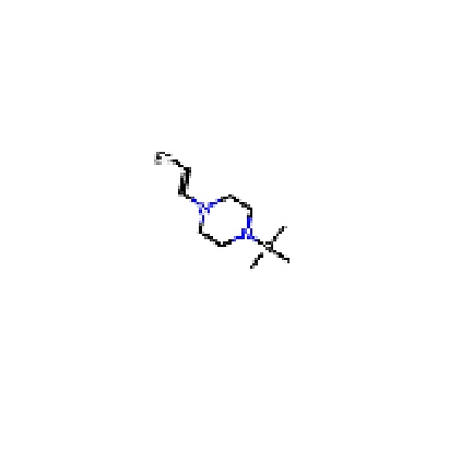 CCC=CN1CCN([Si](C)(C)C)CC1